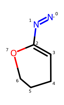 [N]=NC1=CCCCO1